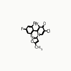 Cc1cc(-n2cc(Cl)c(=O)c(Br)c2-c2c(F)cc(F)cc2F)no1